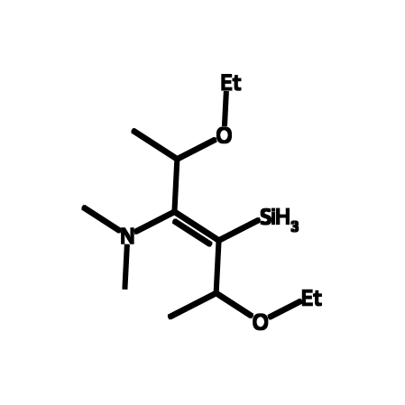 CCOC(C)C([SiH3])=C(C(C)OCC)N(C)C